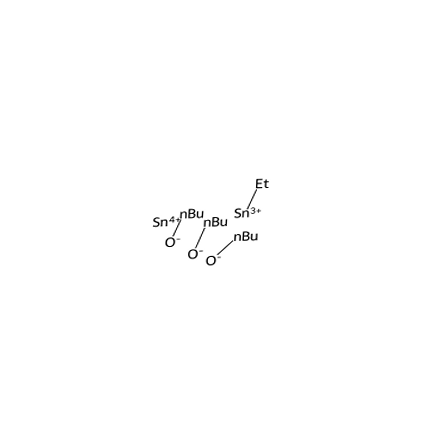 CCCC[O-].CCCC[O-].CCCC[O-].C[CH2][Sn+3].[Sn+4]